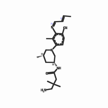 C/C=C/C=N\c1c(C#N)ccc(N2C[C@@H](C)C[C@@H](NC(=O)CC(C)(C)CN)C2)c1C